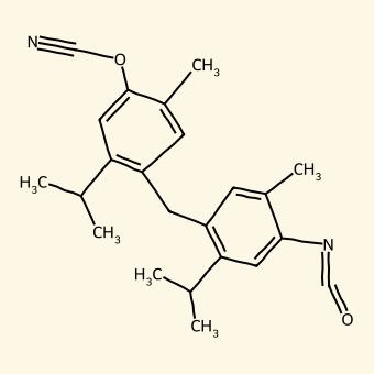 Cc1cc(Cc2cc(C)c(OC#N)cc2C(C)C)c(C(C)C)cc1N=C=O